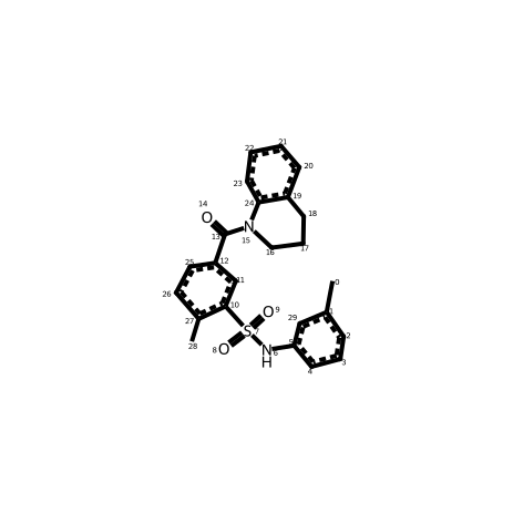 Cc1cccc(NS(=O)(=O)c2cc(C(=O)N3CCCc4ccccc43)ccc2C)c1